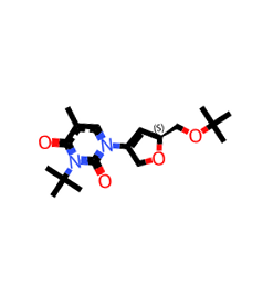 Cc1cn(C2=C[C@@H](COC(C)(C)C)OC2)c(=O)n(C(C)(C)C)c1=O